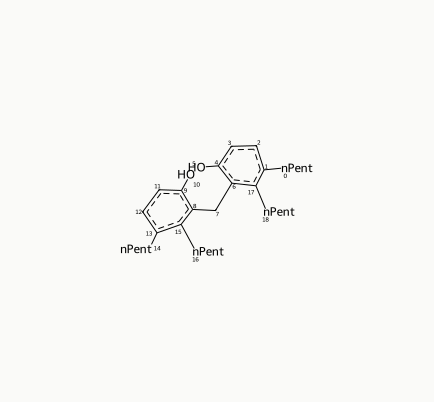 CCCCCc1ccc(O)c(Cc2c(O)ccc(CCCCC)c2CCCCC)c1CCCCC